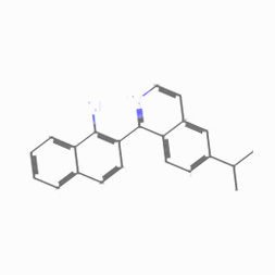 CC(C)c1ccc2c(-c3ccc4ccccc4c3N)nccc2c1